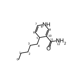 CCCCCC1C=CNC=C1C(N)=O